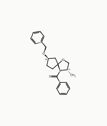 C[C@H]1COC2(CC[C@@H](OCc3ccccc3)C2)N1C(=O)c1ccccc1